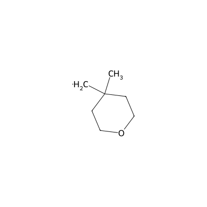 [CH2]C1(C)CCOCC1